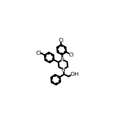 OCC(c1ccccc1)N1CCN(c2ccc(Cl)cc2Cl)C(c2ccc(Cl)cc2)C1